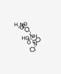 NS(=O)(=O)c1ccc(CCNC(C(=O)O)c2cn(Cc3ccccc3)c3ccccc23)cc1